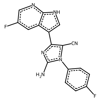 N#Cc1c(-c2c[nH]c3ncc(F)cc23)nc(N)n1-c1ccc(F)cc1